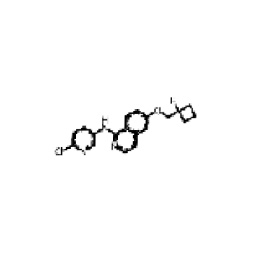 FC1(COc2ccc3c(Nc4ccc(Cl)nc4)nccc3c2)CCC1